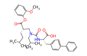 COc1ccccc1OC(=O)[C@@H](CCC(C)C)CN(CC(C)C)C(=O)N[C@@H](Cc1ccc(-c2ccccc2)cc1)C(=O)O